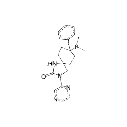 CN(C)C1(c2ccccc2)CCC2(CC1)CN(c1cnccn1)C(=O)N2